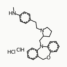 CNc1ccc(CCN2CCCC2CN2c3ccccc3COc3ccccc32)cc1.Cl.Cl